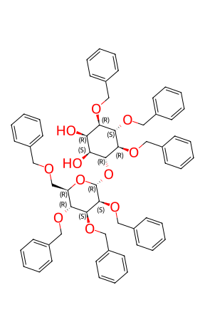 O[C@@H]1[C@H](O)[C@@H](O[C@H]2O[C@H](COCc3ccccc3)[C@@H](OCc3ccccc3)[C@H](OCc3ccccc3)[C@@H]2OCc2ccccc2)[C@H](OCc2ccccc2)[C@@H](OCc2ccccc2)[C@@H]1OCc1ccccc1